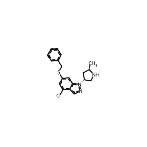 C[C@@H]1C[C@@H](n2ncc3c(Cl)cc(SCc4ccccc4)cc32)CN1